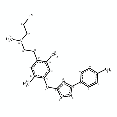 Cc1ccc(-c2nsc(Oc3cc(C)c(CCN(C)CCF)cc3C)n2)cc1